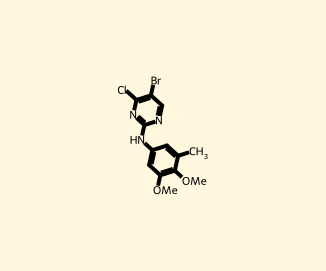 COc1cc(Nc2ncc(Br)c(Cl)n2)cc(C)c1OC